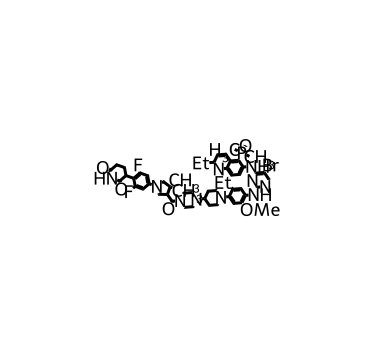 CCc1ccc2c(P(C)(C)=O)c(Nc3nc(Nc4cc(CC)c(N5CCC(N6CCN(C(=O)C7CN(c8cc(F)c(C9CCC(=O)NC9=O)c(F)c8)CC7(C)C)CC6)CC5)cc4OC)ncc3Br)ccc2n1